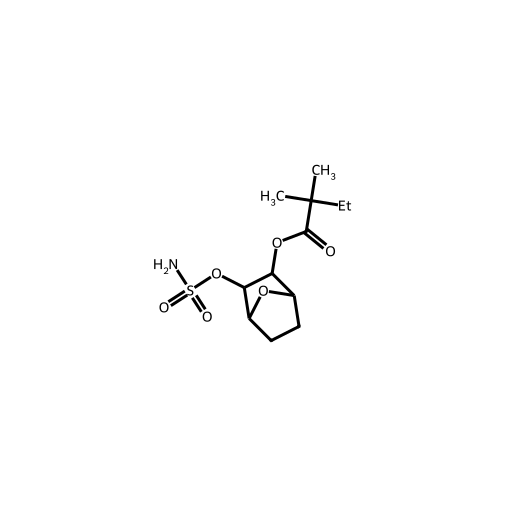 CCC(C)(C)C(=O)OC1C2CCC(O2)C1OS(N)(=O)=O